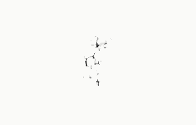 O=[N+]([O-])c1ccn(C[SH](=O)=O)n1